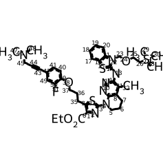 CCOC(=O)c1nc(N2CCCc3c2nnc(/N=c2\sc4ccccc4n2COCC[Si](C)(C)C)c3C)sc1CCCOc1ccc(C#CCN(C)C)cc1F